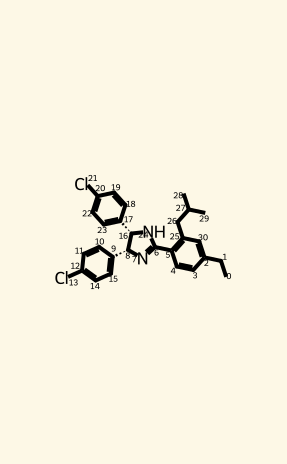 CCc1ccc(C2=N[C@H](c3ccc(Cl)cc3)[C@H](c3ccc(Cl)cc3)N2)c(CC(C)C)c1